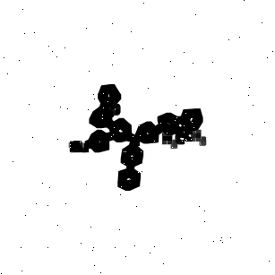 CC(C)(C)c1ccc(-c2cc(N(c3ccc(-c4ccccc4)cc3)c3ccc(-c4ccc5c(c4)C(C)(C)c4ccccc4-5)cc3)ccc2-c2cccc3c2oc2ccccc23)cc1